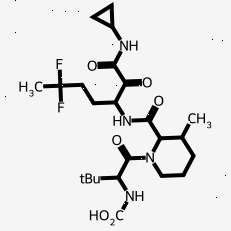 CC1CCCN(C(=O)C(NC(=O)O)C(C)(C)C)C1C(=O)NC(CCC(C)(F)F)C(=O)C(=O)NC1CC1